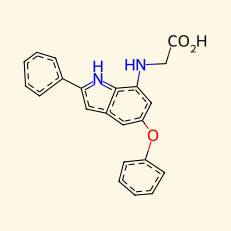 O=C(O)CNc1cc(Oc2ccccc2)cc2cc(-c3ccccc3)[nH]c12